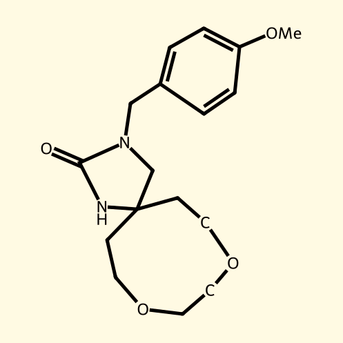 COc1ccc(CN2CC3(CCOCCOCC3)NC2=O)cc1